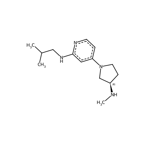 CN[C@@H]1CCN(c2ccnc(NCC(C)C)c2)C1